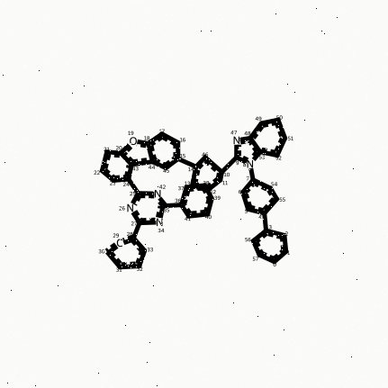 c1ccc(-c2ccc(-n3c(-c4cccc(-c5ccc6oc7cccc(-c8nc(-c9ccccc9)nc(-c9ccccc9)n8)c7c6c5)c4)nc4ccccc43)cc2)cc1